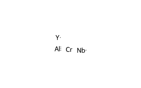 [Al].[Cr].[Nb].[Y]